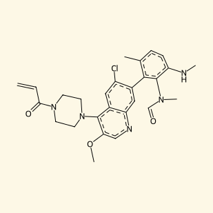 C=CC(=O)N1CCN(c2c(OC)cnc3cc(-c4c(C)ccc(NC)c4N(C)C=O)c(Cl)cc23)CC1